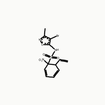 C=CC1C=CC=CC1([N+](=O)[O-])S(=O)(=O)Nc1onc(C)c1Br